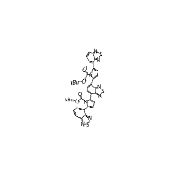 CC(C)(C)OC(=O)n1c(-c2cccc3nsnc23)ccc1-c1ccc(-c2ccc(-c3cccc4nsnc34)n2C(=O)OC(C)(C)C)c2nsnc12